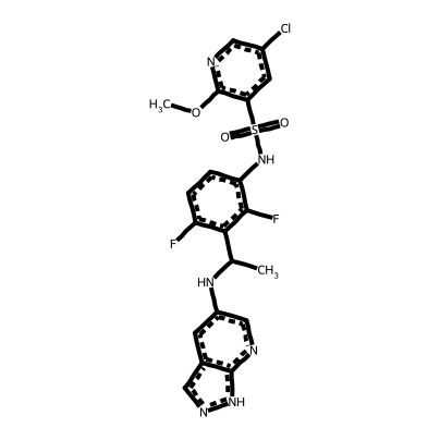 COc1ncc(Cl)cc1S(=O)(=O)Nc1ccc(F)c(C(C)Nc2cnc3[nH]ncc3c2)c1F